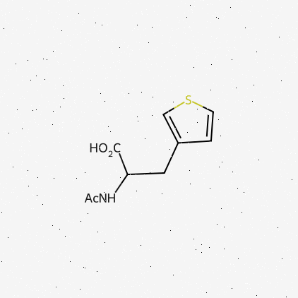 CC(=O)NC(Cc1ccsc1)C(=O)O